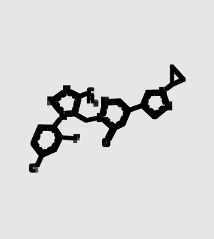 Cc1nnn(-c2ccc(Cl)cc2F)c1Cn1ncc(-c2cnn(C3CC3)c2)cc1=O